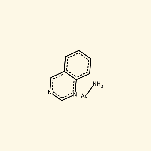 CC(N)=O.c1ccc2ncncc2c1